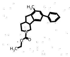 CCOC(=O)N1CCC2Cc3c(C)cc(-c4ccccc4)cc3C2C1